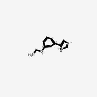 NCOc1cccc(-c2cnc[nH]2)c1